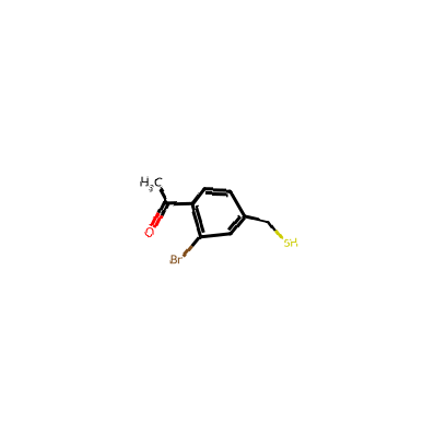 CC(=O)c1ccc(CS)cc1Br